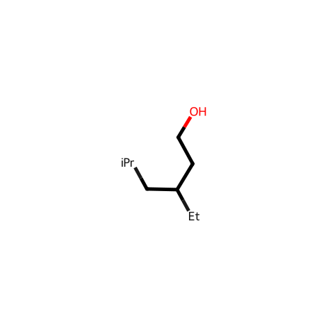 CCC(CCO)CC(C)C